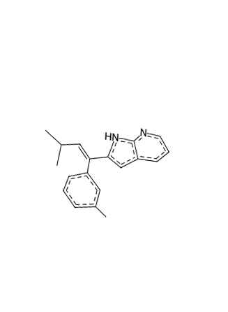 Cc1cccc(C(=CC(C)C)c2cc3cccnc3[nH]2)c1